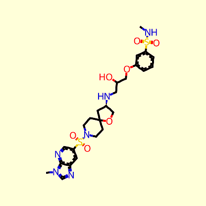 CNS(=O)(=O)c1cccc(OCC(O)CN[C@H]2COC3(CCN(S(=O)(=O)c4cnc5c(c4)ncn5C)CC3)C2)c1